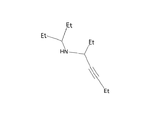 CCC#CC(CC)NC(CC)CC